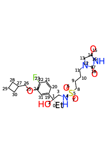 CC[C@@](O)(CNS(=O)(=O)CCCCN1CC(=O)NC1=O)c1ccc(F)c(OCC2CCC2)c1